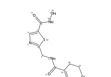 O=C(NCc1ncc(C(=O)NO)s1)C1=CCCCC1